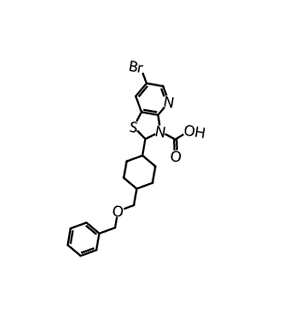 O=C(O)N1c2ncc(Br)cc2SC1C1CCC(COCc2ccccc2)CC1